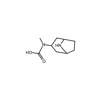 CN(C(=O)O)C1CC2CCC(C1)N2